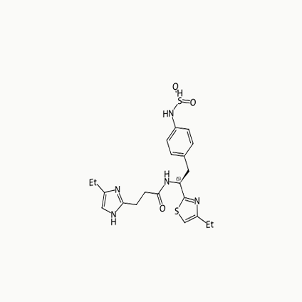 CCc1c[nH]c(CCC(=O)N[C@@H](Cc2ccc(N[SH](=O)=O)cc2)c2nc(CC)cs2)n1